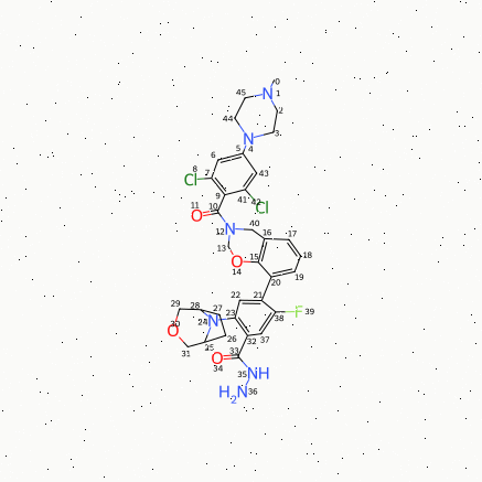 CN1CCN(c2cc(Cl)c(C(=O)N3COc4c(cccc4-c4cc(N5C6CCC5COC6)c(C(=O)NN)cc4F)C3)c(Cl)c2)CC1